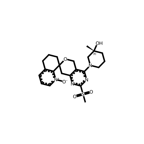 C[C@@]1(O)CCCN(c2nc(S(C)(=O)=O)nc3c2COC2(CCCc4ccc[n+]([O-])c42)C3)C1